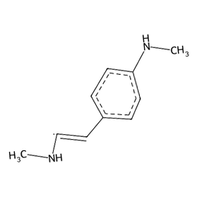 CN[C]=Cc1ccc(NC)cc1